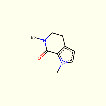 CCN1CCc2ccn(C)c2C1=O